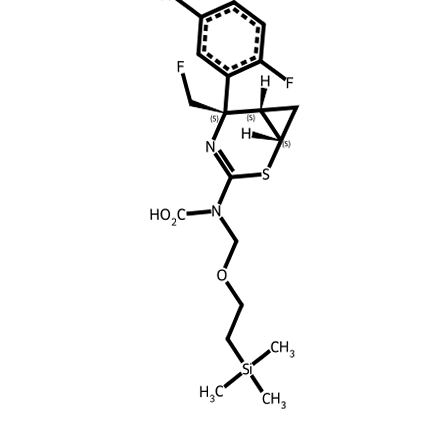 C[Si](C)(C)CCOCN(C(=O)O)C1=N[C@](CF)(c2cc(Br)ccc2F)[C@@H]2C[C@@H]2S1